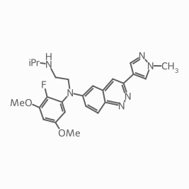 COc1cc(OC)c(F)c(N(CCNC(C)C)c2ccc3nnc(-c4cnn(C)c4)cc3c2)c1